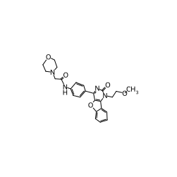 COCCn1c(=O)nc(-c2ccc(NC(=O)CN3CCOCC3)cc2)c2oc3ccccc3c21